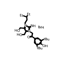 Br.CCC(CC)CCn1c(CO)c(CO)n(CC(=O)c2cc(C(C)(C)C)c(O)c(C(C)(C)C)c2)c1=N